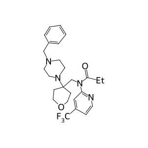 CCC(=O)N(CC1(N2CCN(Cc3ccccc3)CC2)CCOCC1)c1cc(C(F)(F)F)ccn1